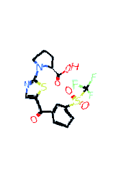 O=C(c1cccc(S(=O)(=O)C(F)(F)F)c1)c1cnc(N2CCC[C@H]2C(=O)O)s1